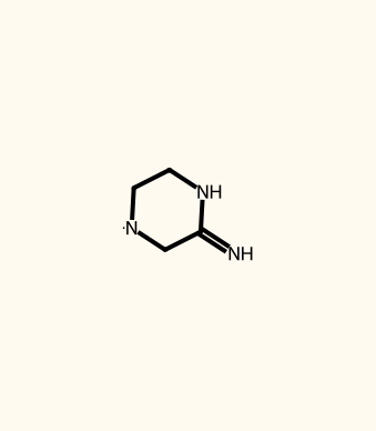 N=C1C[N]CCN1